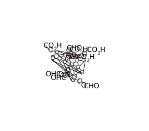 O=COCc1ccc(C23C4C5C6C7C8C9C%10C%11C%12C%13C%10C%10C(C96)C6C5C2C2C5(c9ccc(COC=O)cc9)C9C%14C%15C%16C%17C%18C%19C(C%20C%18C%18C%21C%17C%15C%15C%17C%14C5C3C3C%17C5(c%14ccc(CC(=O)O)cc%14)C%15C%21C%14(c%15ccc(CC(=O)O)cc%15)C%18C(C%20%12)C%12(c%15ccc(CC(=O)O)cc%15)C%11C8C8C%11C7C4C3(c3ccc(CC(=O)O)cc3)C%11C5C%14C8%12)C%13C3C4C%19C%16C9C4C2(c2ccc(COC=O)cc2)C6C%103c2ccc(COC=O)cc2)cc1